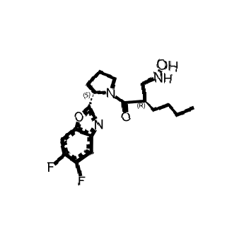 CCCC[C@H](CNO)C(=O)N1CCC[C@H]1c1nc2cc(F)c(F)cc2o1